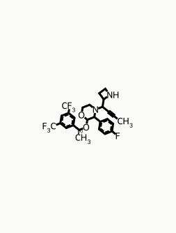 CC#CC(C1CCN1)N1CCOC(O[C@H](C)c2cc(C(F)(F)F)cc(C(F)(F)F)c2)C1c1ccc(F)cc1